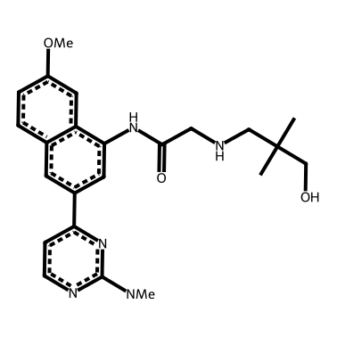 CNc1nccc(-c2cc(NC(=O)CNCC(C)(C)CO)c3cc(OC)ccc3c2)n1